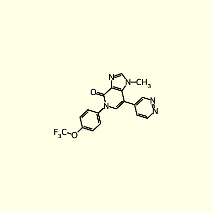 Cn1cnc2c(=O)n(-c3ccc(OC(F)(F)F)cc3)cc(-c3ccnnc3)c21